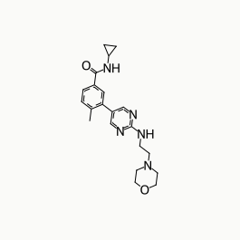 Cc1ccc(C(=O)NC2CC2)cc1-c1cnc(NCCN2CCOCC2)nc1